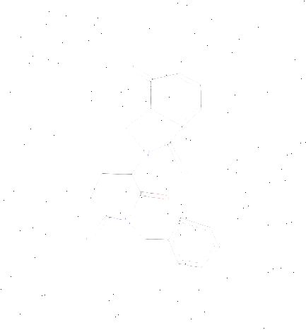 O=C1C=CC=C2C(=O)N(C3CCC(=O)N(Cc4ccccc4)C3=O)CC12